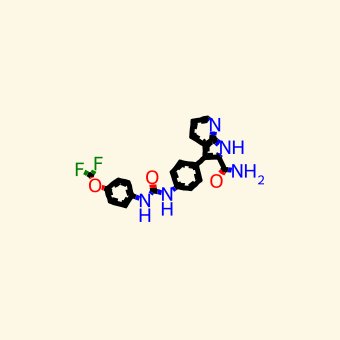 NC(=O)c1[nH]c2ncccc2c1-c1ccc(NC(=O)Nc2ccc(OC(F)F)cc2)cc1